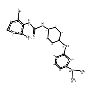 Cc1cccc(C(C)C)c1NC(=S)NC1CCC(Nc2nccc(N(C)C)n2)CC1